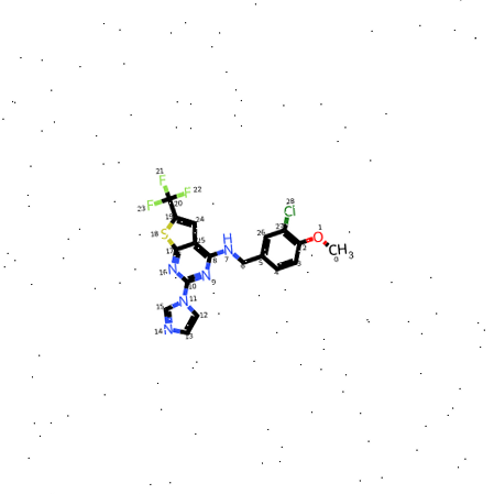 COc1ccc(CNc2nc(-n3ccnc3)nc3sc(C(F)(F)F)cc23)cc1Cl